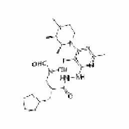 Cc1nc(NNC(=O)[C@H](CC2CCCC2)CN(O)C=O)c(F)c(N2CCN(C)[C@H](C)[C@@H]2C)n1